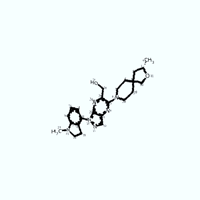 C[C@H]1CC2(CCN(c3nc4cnn(-c5cccc6c5CCN6C)c4nc3CO)CC2)CO1